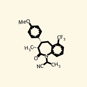 COc1ccc([C@@H]2Cc3c(cccc3C(F)(F)F)N(C(C)C#N)C(=O)[C@@H]2C)cc1